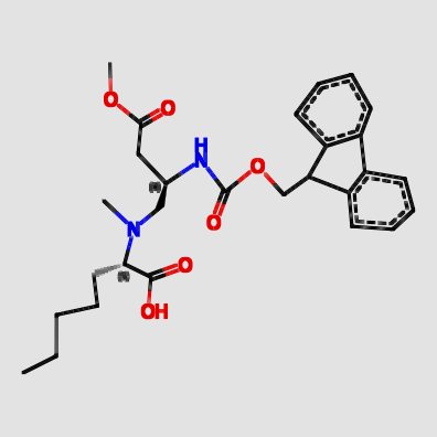 CCCCC[C@@H](C(=O)O)N(C)C[C@@H](CC(=O)OC)NC(=O)OCC1c2ccccc2-c2ccccc21